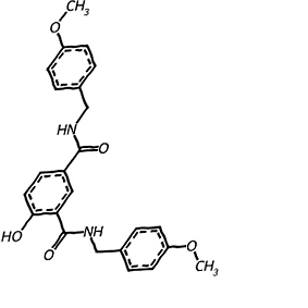 COc1ccc(CNC(=O)c2ccc(O)c(C(=O)NCc3ccc(OC)cc3)c2)cc1